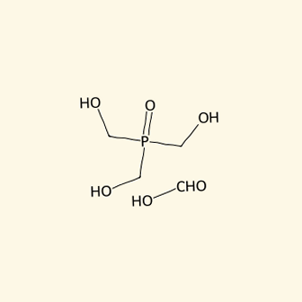 O=CO.O=P(CO)(CO)CO